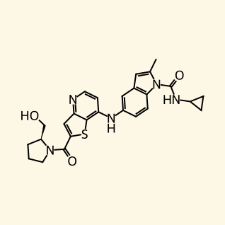 Cc1cc2cc(Nc3ccnc4cc(C(=O)N5CCC[C@H]5CO)sc34)ccc2n1C(=O)NC1CC1